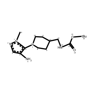 Cn1ncc(N)c1N1CCC(CNC(=O)OC(C)(C)C)CC1